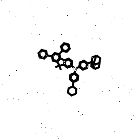 CC1(C)c2cc(N(c3ccc(C4CCCCC4)cc3)c3ccc(C45CC6CC(CC(C6)C4)C5)cc3)ccc2-c2c(-c3ccccc3)cc(-c3ccccc3)cc21